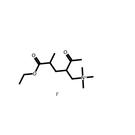 CCOC(=O)C(C)CC(C[N+](C)(C)C)C(C)=O.[I-]